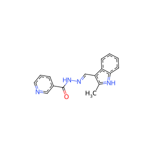 Cc1[nH]c2ccccc2c1C=NNC(=O)c1cccnc1